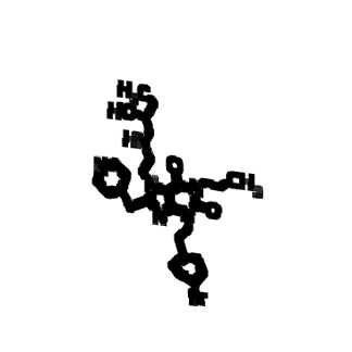 CCCn1c(=O)c2c(nc(Cc3ccncc3)n2CCNCC(O)CC)n(CCc2ccc(Br)cc2)c1=O